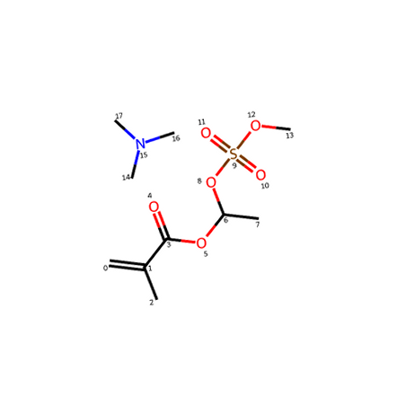 C=C(C)C(=O)OC(C)OS(=O)(=O)OC.CN(C)C